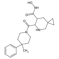 CC1(c2ccccc2)CCN(C(=O)C2NCC3(CC3)CC2C(=O)NO)CC1